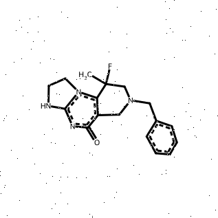 CC1(F)CN(Cc2ccccc2)Cc2c1n1c(nc2=O)NCC1